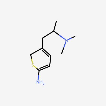 CC(CC1=CC=C(N)SC1)N(C)C